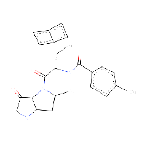 CC(=O)C1CC2NCC(=O)C2N1C(=O)[C@H](CC(C)C)NC(=O)c1ccc(C(C)(C)C)cc1.c1cc2ccc1-2